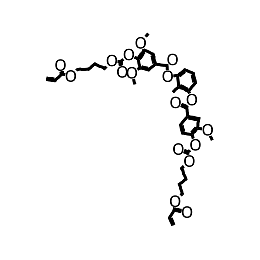 C=CC(=O)OCCCCOC(=O)Oc1ccc(C(=O)Oc2cccc(OC(=O)c3cc(OC)c(OC(=O)OCCCCOC(=O)C=C)c(OC)c3)c2C)cc1OC